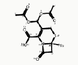 CC(=O)OC(OC(C)=O)C1=C(C(=O)O)N2C(=O)C[C@H]2SC1